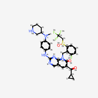 CN(c1ccc(Nc2ncc3cc(C(=O)C4CC4)c(=O)n(Cc4c(F)cccc4[S+]([O-])CC(F)(F)F)c3n2)cc1)C1CCCNC1